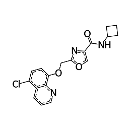 O=C(NC1CCC1)c1coc(COc2ccc(Cl)c3cccnc23)n1